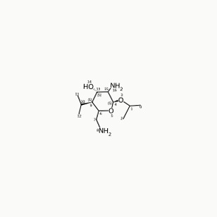 CC(C)O[C@H]1OC(CN)[C@@H](C(C)C)[C@H](O)C1N